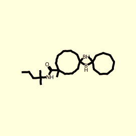 BC1(BC2(C)CCCCCCCC2)CCCCCC(C)(C(=O)NC(C)(C)CCC)CCC1